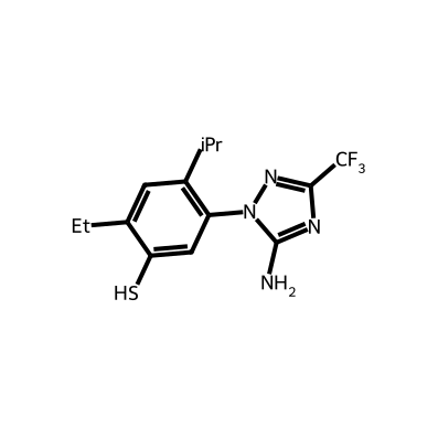 CCc1cc(C(C)C)c(-n2nc(C(F)(F)F)nc2N)cc1S